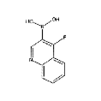 OB(O)c1cnc2ccccc2c1F